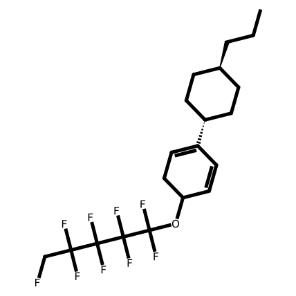 CCC[C@H]1CC[C@H](C2=CCC(OC(F)(F)C(F)(F)C(F)(F)C(F)(F)CF)C=C2)CC1